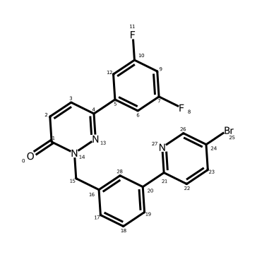 O=c1ccc(-c2cc(F)cc(F)c2)nn1Cc1cccc(-c2ccc(Br)cn2)c1